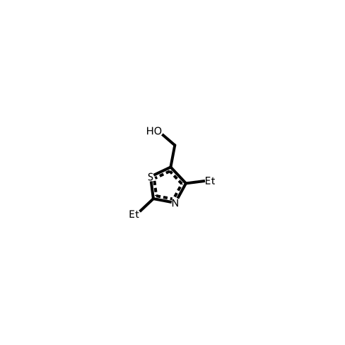 CCc1nc(CC)c(CO)s1